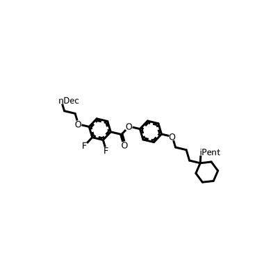 CCCCCCCCCCCCOc1ccc(C(=O)Oc2ccc(OCCCC3(C(C)CCC)CCCCC3)cc2)c(F)c1F